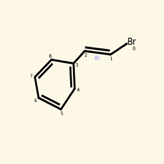 Br/C=C/c1ccccc1